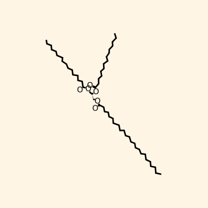 CCCCCCCCCCCCCCCCCCCCCCCC(=O)OC[C@H](COC(=O)CCCCCCCCCCCCCCC)OC(=O)CCCCCCCCCCCCCC